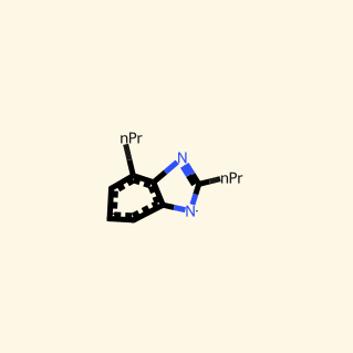 CCCC1=Nc2c(CCC)cccc2[N]1